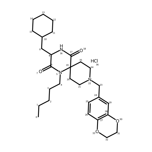 CCCCCN1C(=O)C(CC2CCCCC2)NC(=O)C12CCN(Cc1ccc3c(c1)OCCO3)CC2.Cl